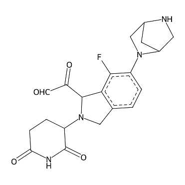 O=CC(=O)C1c2c(ccc(N3CC4CC3CN4)c2F)CN1C1CCC(=O)NC1=O